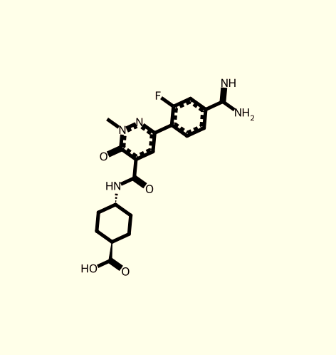 Cn1nc(-c2ccc(C(=N)N)cc2F)cc(C(=O)N[C@H]2CC[C@H](C(=O)O)CC2)c1=O